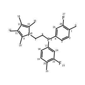 Cc1ccc(P(CCp2c(C)c(C)c(C)c2C)c2ccc(C)c(F)c2)cc1F